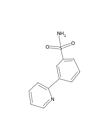 NS(=O)(=O)c1cccc(-c2ccccn2)c1